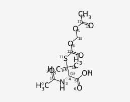 CC(=O)N[C@@H](C(=O)O)C(C)(C)SC(=O)OCOC(C)=O